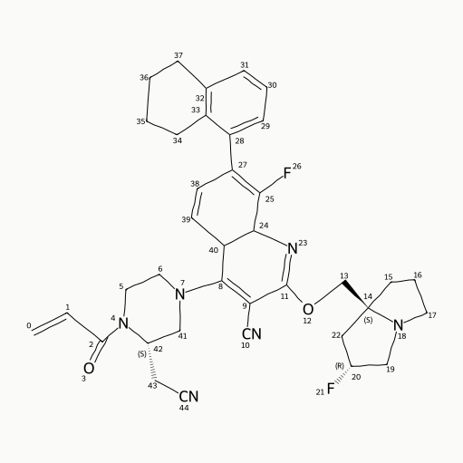 C=CC(=O)N1CCN(C2=C(C#N)C(OC[C@@]34CCCN3C[C@H](F)C4)=NC3C(F)=C(c4cccc5c4CCCC5)C=CC23)C[C@@H]1CC#N